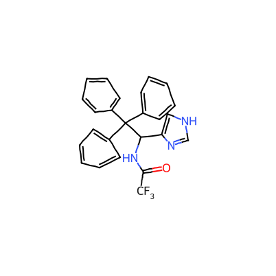 O=C(NC(c1c[nH]cn1)C(c1ccccc1)(c1ccccc1)c1ccccc1)C(F)(F)F